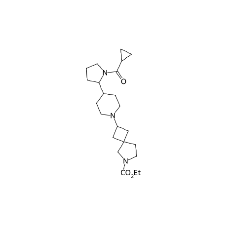 CCOC(=O)N1CCC2(CC(N3CCC(C4CCCN4C(=O)C4CC4)CC3)C2)C1